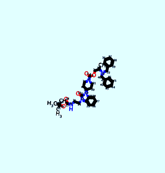 CC(COC(=O)N1CCC(n2c(=O)n(CCNC(=O)OC(C)(C)C)c3ccccc32)CC1)N(Cc1ccccc1)Cc1ccccc1